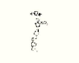 O=[N+]([O-])c1cc(N2CCC(COc3ccc(C(F)(F)F)cc3)CC2)ccc1OCC1NC=CN1